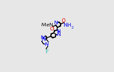 CNC(=O)c1ncc(C(N)=O)cc1-c1cc2cc(-c3cnn4c3CN(CCF)CC4)ccc2nn1